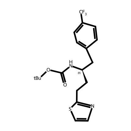 CC(C)(C)OC(=O)N[C@H](CCc1nccs1)Cc1ccc(C(F)(F)F)cc1